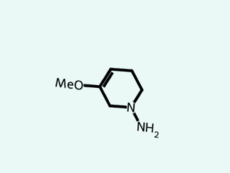 COC1=CCCN(N)C1